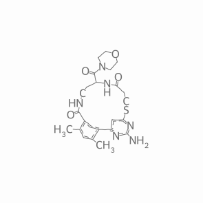 Cc1cc(C)c2cc1C(=O)NCCC(C(=O)N1CCOCC1)NC(=O)CCSc1cc-2nc(N)n1